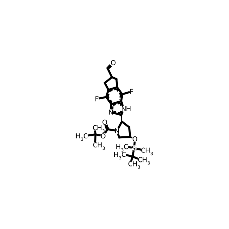 CC(C)(C)OC(=O)N1C[C@H](O[Si](C)(C)C(C)(C)C)C[C@@H]1c1nc2c(F)c3c(c(F)c2[nH]1)CC(C=O)C3